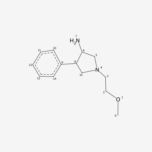 COCCN1CC(N)C(c2ccccc2)C1